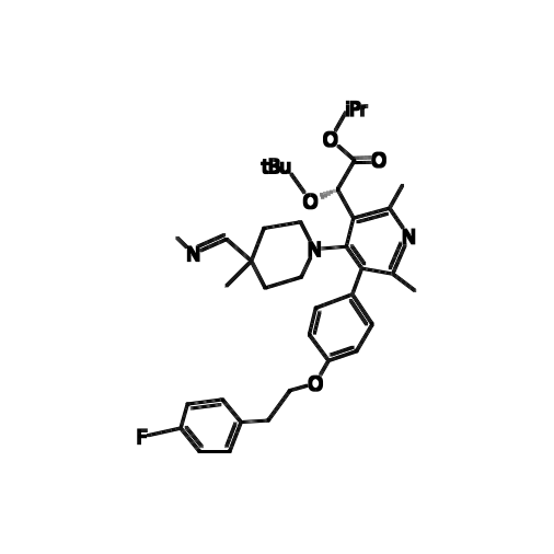 C/N=C/C1(C)CCN(c2c(-c3ccc(OCCc4ccc(F)cc4)cc3)c(C)nc(C)c2[C@H](OC(C)(C)C)C(=O)OC(C)C)CC1